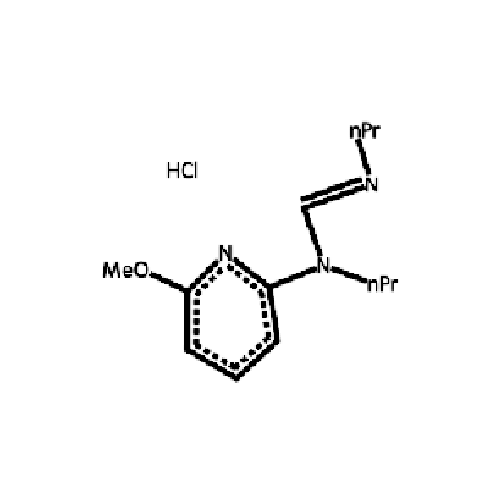 CCCN=CN(CCC)c1cccc(OC)n1.Cl